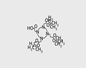 CC(C)(C)OC(=O)CCN1CCN(CC(=O)OC(C)(C)C)CCN(CC(=O)O)CCN(CC(O)OC(C)(C)C)CC1